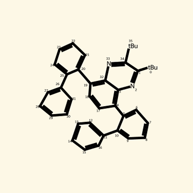 CC(C)(C)c1nc2c(-c3ccccc3-c3ccccc3)ccc(-c3ccccc3-c3ccccc3)c2nc1C(C)(C)C